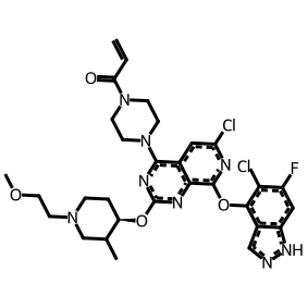 C=CC(=O)N1CCN(c2nc(O[C@@H]3CCN(CCOC)CC3C)nc3c(Oc4c(Cl)c(F)cc5[nH]ncc45)nc(Cl)cc23)CC1